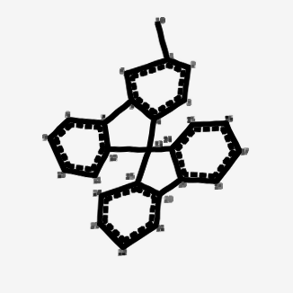 [CH2]c1ccc2c(c1)-c1ccccc1C21c2ccccc2-c2ccccc21